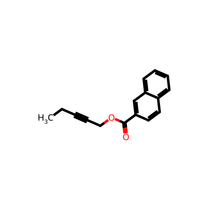 CCC#CCOC(=O)c1ccc2ccccc2c1